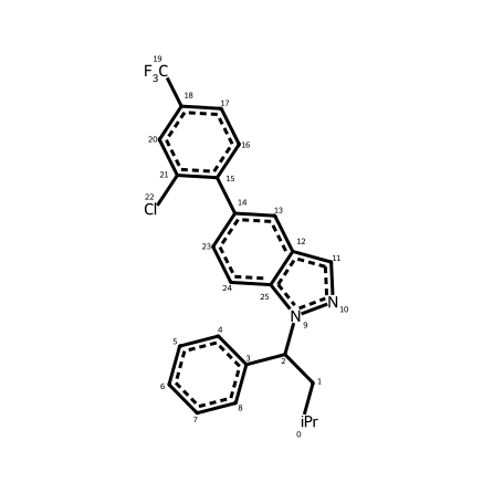 CC(C)CC(c1ccccc1)n1ncc2cc(-c3ccc(C(F)(F)F)cc3Cl)ccc21